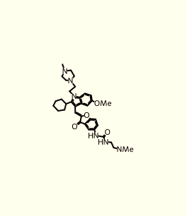 CNCCNC(=O)Nc1ccc2c(c1)C(=O)C(=Cc1c(C3CCCCC3)n(CCN3CCN(C)CC3)c3ccc(OC)cc13)O2